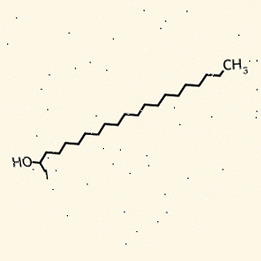 CCCCCCCCCCCCCCCCCCCC(O)I